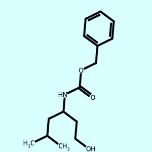 CC(C)CC(CCO)NC(=O)OCc1ccccc1